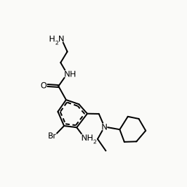 CCN(Cc1cc(C(=O)NCCN)cc(Br)c1N)C1CCCCC1